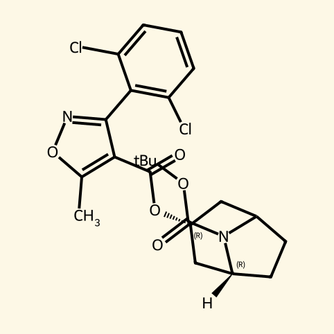 Cc1onc(-c2c(Cl)cccc2Cl)c1C(=O)O[C@@H]1CC2CC[C@H](C1)N2C(=O)OC(C)(C)C